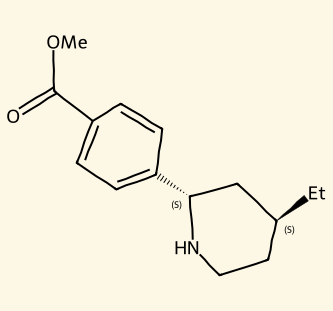 CC[C@H]1CCN[C@H](c2ccc(C(=O)OC)cc2)C1